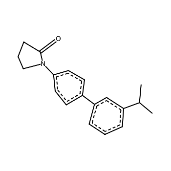 CC(C)c1cccc(-c2ccc(N3CCCC3=O)cc2)c1